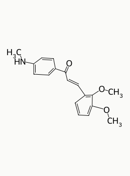 CNc1ccc(C(=O)C=Cc2cccc(OC)c2OC)cc1